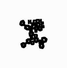 CC(C)(C)c1cc2c3cc(-c4ccccc4)ccc3n(-c3ccc4c(c3)Oc3cc(-n5c6ccccc6c6ccccc65)cc5c3B4c3ccc(-c4ccccc4)cc3O5)c2c2sc3ccccc3c12